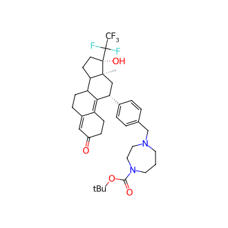 CC(C)(C)OC(=O)N1CCCN(Cc2ccc([C@H]3C[C@@]4(C)C(CC[C@@]4(O)C(F)(F)C(F)(F)F)C4CCC5=CC(=O)CCC5=C43)cc2)CC1